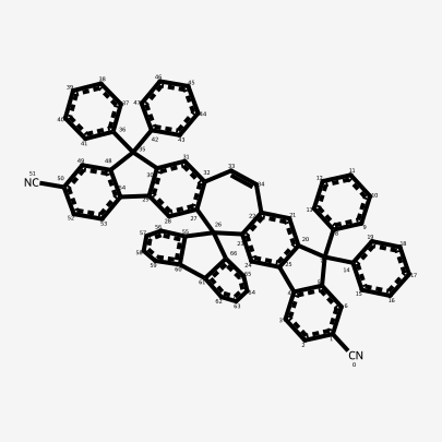 N#Cc1ccc2c(c1)C(c1ccccc1)(c1ccccc1)c1cc3c(cc1-2)C1(c2cc4c(cc2C=C3)C(c2ccccc2)(c2ccccc2)c2cc(C#N)ccc2-4)c2ccccc2-c2ccccc21